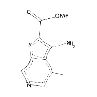 COC(=O)c1sc2cncc(C)c2c1N